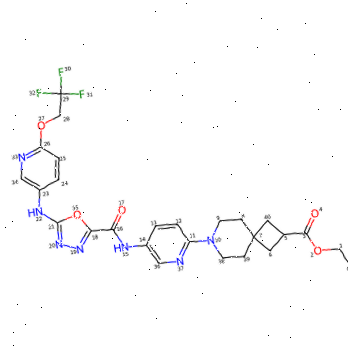 CCOC(=O)C1CC2(CCN(c3ccc(NC(=O)c4nnc(Nc5ccc(OCC(F)(F)F)nc5)o4)cn3)CC2)C1